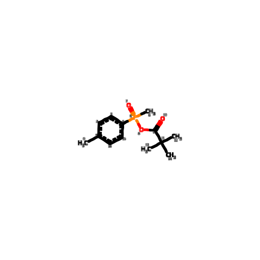 Cc1ccc(P(C)(=O)OC(=O)C(C)(C)C)cc1